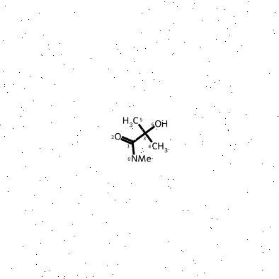 C[N]C(=O)C(C)(C)O